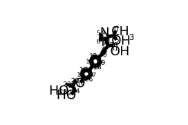 CC(O)c1nccn1C(C#Cc1ccc(-c2ccc(OCC(CO)CO)cc2)cc1)CO